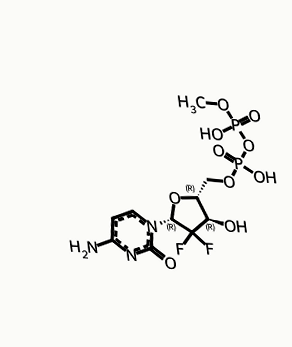 COP(=O)(O)OP(=O)(O)OC[C@H]1O[C@@H](n2ccc(N)nc2=O)C(F)(F)[C@@H]1O